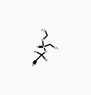 CCOP(=O)(CC)OC(Br)(Br)C#N